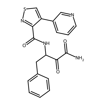 NC(=O)C(=O)C(Cc1ccccc1)NC(=O)c1nscc1-c1cccnc1